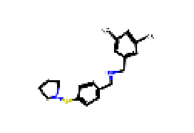 FC(F)(F)c1cc(CNCc2ccc(SN3CCCC3)cc2)cc(C(F)(F)F)c1